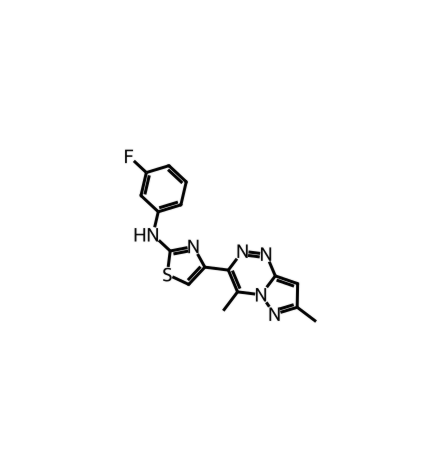 Cc1cc2nnc(-c3csc(Nc4cccc(F)c4)n3)c(C)n2n1